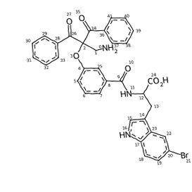 NCC(Oc1cccc(C(=O)NC(Cc2c[nH]c3ccc(Br)cc23)C(=O)O)c1)(C(=O)c1ccccc1)C(=O)c1ccccc1